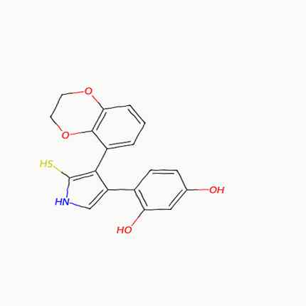 Oc1ccc(-c2c[nH]c(S)c2-c2cccc3c2OCCO3)c(O)c1